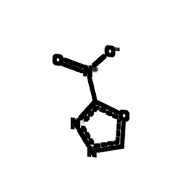 O=[N+]([O-])c1nnco1